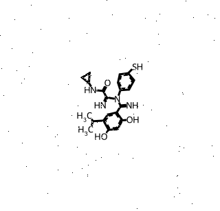 CC(C)c1cc(C(=N)N(C(=N)C(=O)NC2CC2)c2ccc(S)cc2)c(O)cc1O